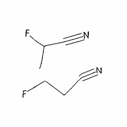 CC(F)C#N.N#CCCF